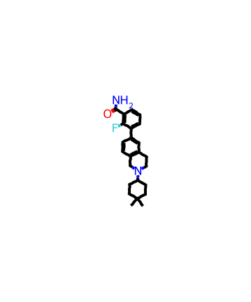 CC1(C)CCC(N2CCc3cc(-c4cccc(C(N)=O)c4F)ccc3C2)CC1